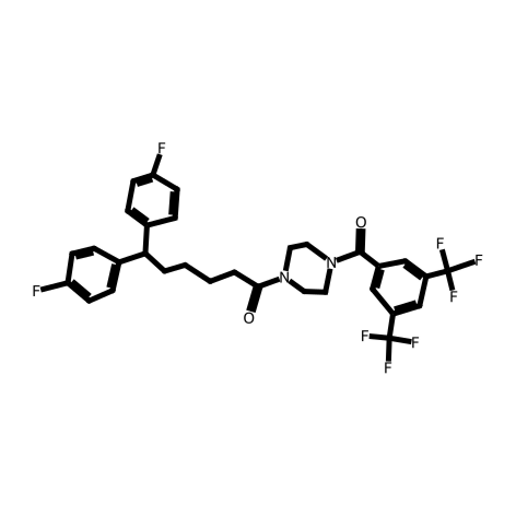 O=C(CCCCC(c1ccc(F)cc1)c1ccc(F)cc1)N1CCN(C(=O)c2cc(C(F)(F)F)cc(C(F)(F)F)c2)CC1